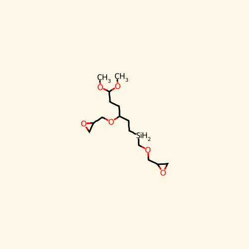 COC(CCC(CC[SiH2]COCC1CO1)OCC1CO1)OC